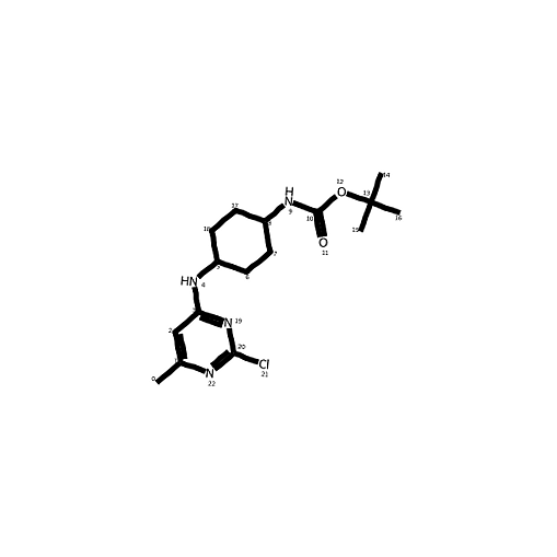 Cc1cc(NC2CCC(NC(=O)OC(C)(C)C)CC2)nc(Cl)n1